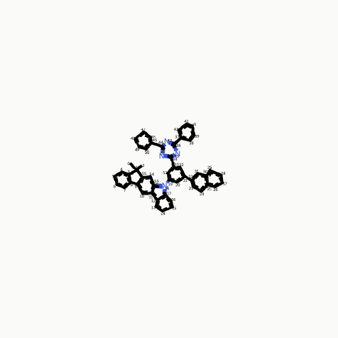 CC1(C)c2ccccc2-c2cc3c4ccccc4n(-c4cc(-c5ccc6ccccc6c5)cc(-c5nc(-c6ccccc6)nc(-c6ccccc6)n5)c4)c3cc21